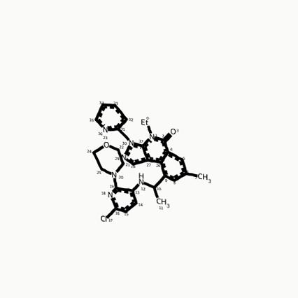 CCn1c(=O)c2cc(C)cc(C(C)Nc3ccc(Cl)nc3N3CCOCC3)c2c2cnn(-c3ccccn3)c21